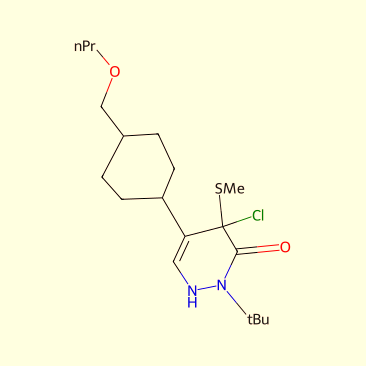 CCCOCC1CCC(C2=CNN(C(C)(C)C)C(=O)C2(Cl)SC)CC1